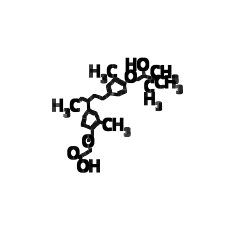 CCC(CCc1ccc(OCC(O)C(C)(C)C)c(C)c1)c1ccc(COCC(=O)O)c(C)c1